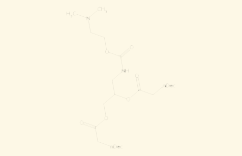 CCCCCCCCCCCC(=O)OCC(CNC(=O)OCCN(C)C)OC(=O)CCCCCCCCCCC